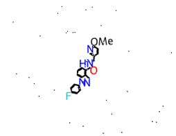 COc1ccc(CNC(=O)c2cccc3c2cnn3-c2ccc(F)cc2)cn1